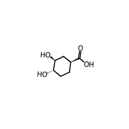 O=C(O)[C@H]1CC[C@H](O)[C@@H](O)C1